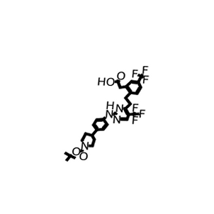 CC(C)(C)OC(=O)N1CCC(c2ccc(Nc3ncc(C(F)(F)F)c(CCc4ccc(C(F)(F)F)cc4CC(=O)O)n3)cc2)CC1